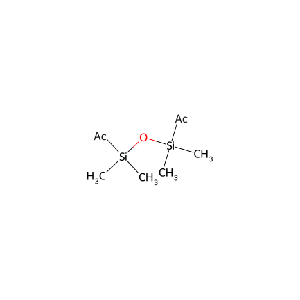 CC(=O)[Si](C)(C)O[Si](C)(C)C(C)=O